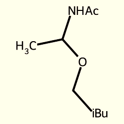 CCC(C)COC(C)NC(C)=O